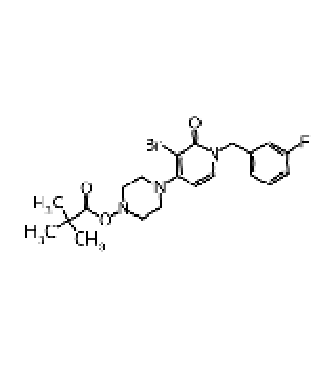 CC(C)(C)C(=O)ON1CCN(c2ccn(Cc3cccc(F)c3)c(=O)c2Br)CC1